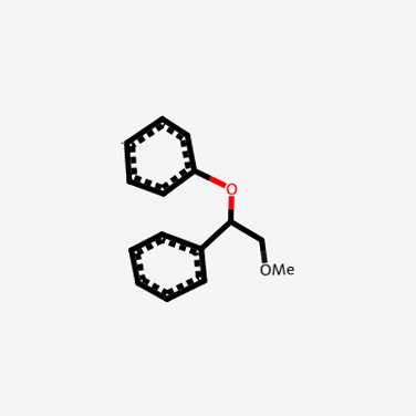 COCC(Oc1cc[c]cc1)c1ccccc1